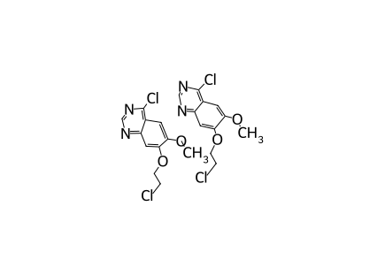 COc1cc2c(Cl)ncnc2cc1OCCCl.COc1cc2c(Cl)ncnc2cc1OCCCl